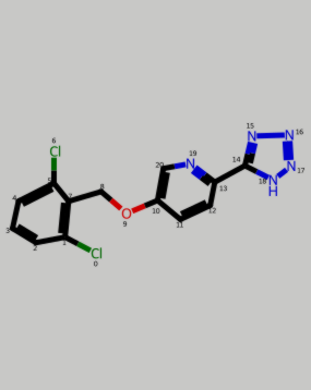 Clc1cccc(Cl)c1COc1ccc(-c2nnn[nH]2)nc1